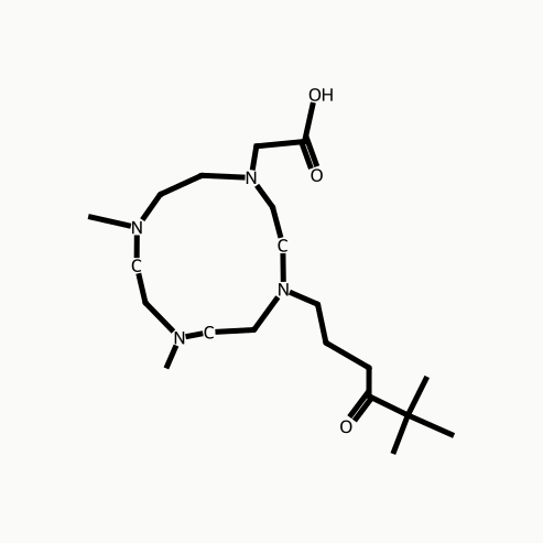 CN1CCN(C)CCN(CC(=O)O)CCN(CCCC(=O)C(C)(C)C)CC1